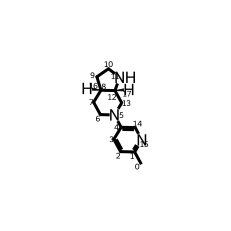 Cc1ccc(N2CC[C@@H]3CCN[C@@H]3C2)cn1